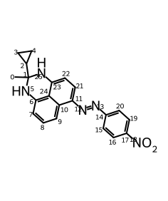 CC1(C2CC2)Nc2cccc3c(N=Nc4ccc([N+](=O)[O-])cc4)ccc(c23)N1